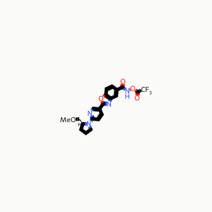 COC[C@H]1CCCN1c1ccc(-c2nc3cc(C(=O)NOC(=O)C(F)(F)F)ccc3o2)cn1